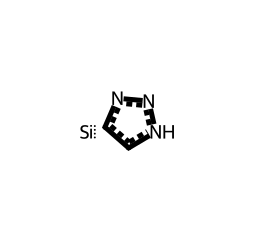 [Si].c1c[nH]nn1